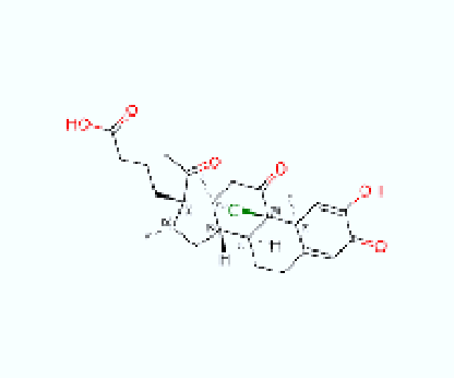 CC(=O)[C@@]1(CCCC(=O)O)[C@@H](C)C[C@H]2[C@@H]3CCC4=CC(=O)C(O)=C[C@]4(C)[C@@]3(Cl)C(=O)C[C@@]21C